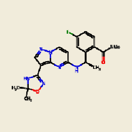 CNC(=O)c1ccc(F)cc1[C@@H](C)Nc1ccn2ncc(C3=NOC(C)(C)N3)c2n1